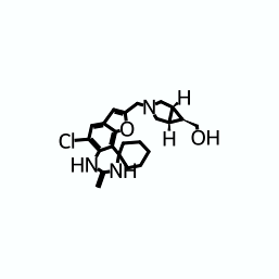 C=C1Nc2c(Cl)cc3cc(CN4C[C@@H]5[C@@H](CO)[C@@H]5C4)oc3c2C2(CCCCC2)N1